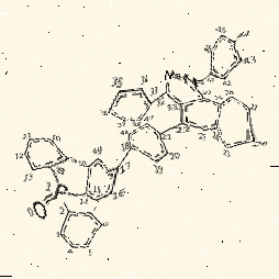 O=P(c1ccccc1)(c1ccccc1)c1ccc(-c2ccc(-c3cc4ccccc4c4c3c(-c3ccccc3)nn4-c3ccccc3)cc2)cc1